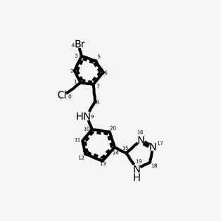 Clc1cc(Br)ccc1CNc1cccc(C2N=NCN2)c1